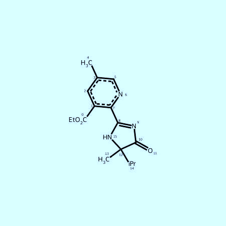 CCOC(=O)c1cc(C)cnc1C1=NC(=O)C(C)(C(C)C)N1